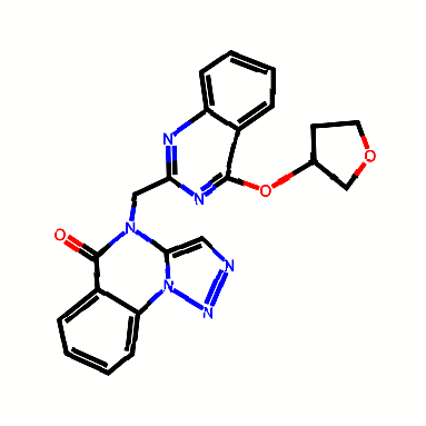 O=c1c2ccccc2n2nncc2n1Cc1nc(OC2CCOC2)c2ccccc2n1